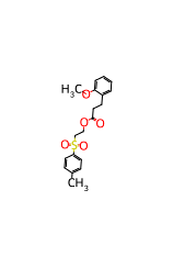 COc1ccccc1CCC(=O)OCCS(=O)(=O)c1ccc(C)cc1